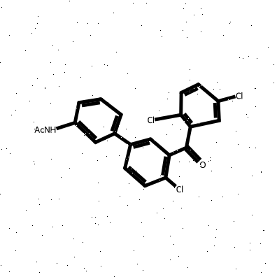 CC(=O)Nc1cccc(-c2ccc(Cl)c(C(=O)c3cc(Cl)ccc3Cl)c2)c1